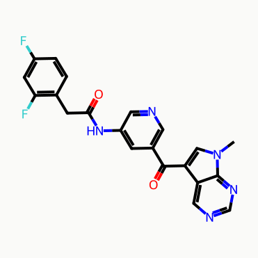 Cn1cc(C(=O)c2cncc(NC(=O)Cc3ccc(F)cc3F)c2)c2cncnc21